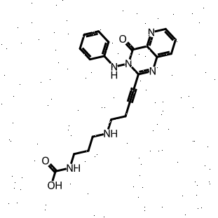 O=C(O)NCCCNCCC#Cc1nc2cccnc2c(=O)n1Nc1ccccc1